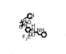 CC1(C)C(=O)N(c2ccc(OC(F)(F)F)c(NC(=O)[C@@H](N)CC3CCCCC3)c2)C(=O)N1Cc1ccncc1